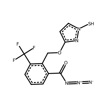 [N-]=[N+]=NC(=O)c1cccc(C(F)(F)F)c1COc1ccn(S)n1